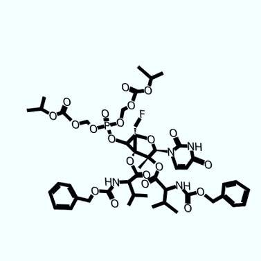 CC(C)OC(=O)OCOP(=O)(OCOC(=O)OC(C)C)OC1[C@]2(OC(=O)C(NC(=O)OCc3ccccc3)C(C)C)[C@@](C)(OC(=O)C(NC(=O)OCc3ccccc3)C(C)C)[C@H](n3ccc(=O)[nH]c3=O)O[C@]12CF